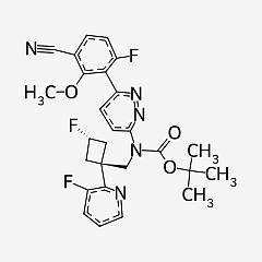 COc1c(C#N)ccc(F)c1-c1ccc(N(C[C@]2(c3ncccc3F)C[C@@H](F)C2)C(=O)OC(C)(C)C)nn1